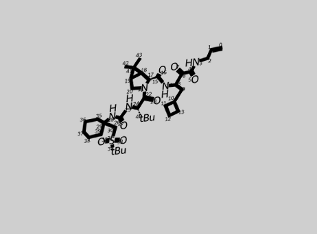 C=CCNC(=O)C(=O)C(CC1CCC1)NC(=O)[C@@H]1C2C(CN1C(=O)[C@@H](NC(=O)NC1(CS(=O)(=O)C(C)(C)C)CCCCC1)C(C)(C)C)C2(C)C